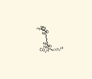 O=C(O)CC[C@H](NC(=O)NCCCCCNC(=O)c1cc([18F])ncn1)C(=O)O